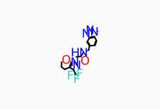 Cn1nnc2cc(CNC(=O)Cn3nc(C(F)(F)F)c4c3OCCC4)ccc21